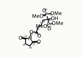 COP(=O)(OC)C(O)(CCCC(=O)ON1C(=O)CCC1=O)P(=O)(OC)OC